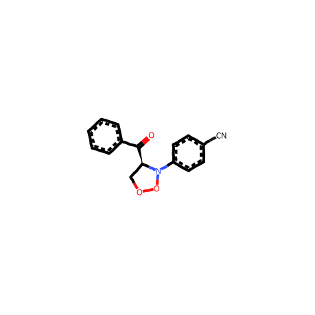 N#Cc1ccc(N2OOC[C@H]2C(=O)c2ccccc2)cc1